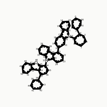 c1ccc(-c2ccccc2-n2c3ccccc3c3ccc(-c4cccc5c4c4ccccc4n5-c4ccc(-c5ccccc5)c5c4oc4ccccc45)cc32)cc1